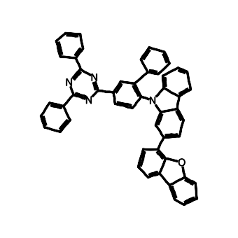 c1ccc(-c2nc(-c3ccccc3)nc(-c3ccc(-n4c5ccccc5c5ccc(-c6cccc7c6oc6ccccc67)cc54)c(-c4ccccc4)c3)n2)cc1